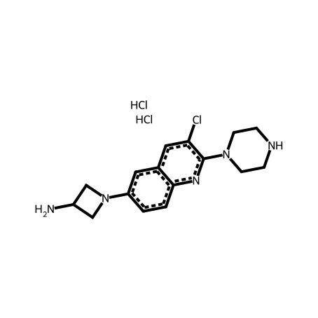 Cl.Cl.NC1CN(c2ccc3nc(N4CCNCC4)c(Cl)cc3c2)C1